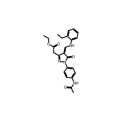 CCOC(=O)CC1=NN(c2ccc(NC(C)=O)cc2)C(=O)C1=CNc1ccccc1CC